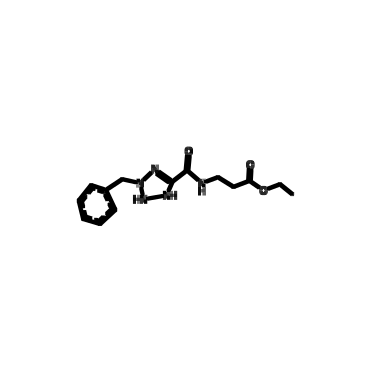 CCOC(=O)CCNC(=O)C1=NN(Cc2ccccc2)NN1